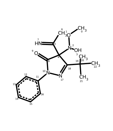 CON(O)C1(C(C)=N)C(=O)N(c2ccccc2)N=C1C(C)(C)C